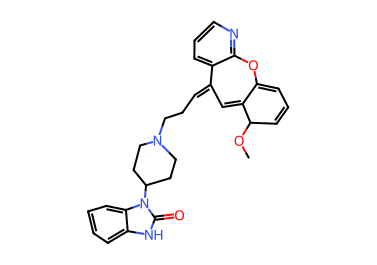 COC1C=CC=C2Oc3ncccc3C(=CCCN3CCC(n4c(=O)[nH]c5ccccc54)CC3)C=C21